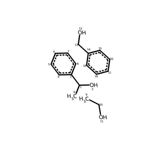 CC(O)c1ccccc1.CCO.OCc1ccccc1